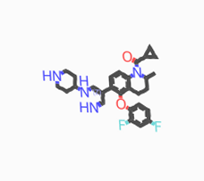 CC1CCc2c(ccc(/C(C=N)=C/NC3CCNCC3)c2Oc2ccc(F)cc2F)N1C(=O)C1CC1